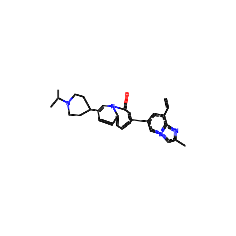 C=Cc1cc(C2=C\C(=O)N3C=C(C4CCN(C(C)C)CC4)C=C\C3=C/C=C/2)cn2cc(C)nc12